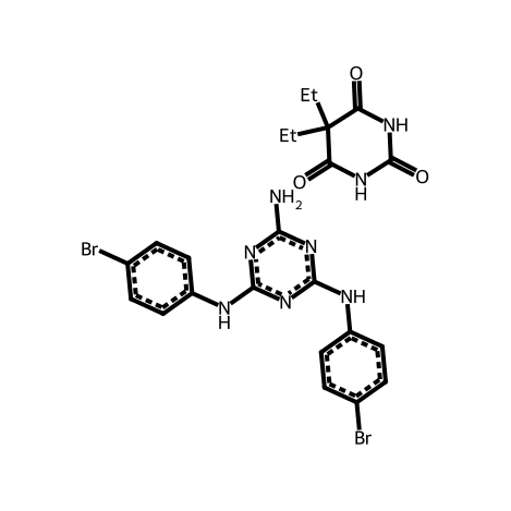 CCC1(CC)C(=O)NC(=O)NC1=O.Nc1nc(Nc2ccc(Br)cc2)nc(Nc2ccc(Br)cc2)n1